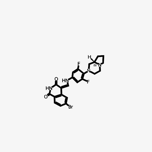 O=C1NC(=O)c2ccc(Br)cc2C1=CNc1cc(F)c(N2CCN3CCC[C@H]3C2)c(F)c1